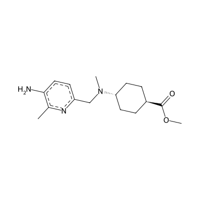 COC(=O)[C@H]1CC[C@H](N(C)Cc2ccc(N)c(C)n2)CC1